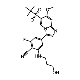 COc1cc2ncc(-c3cc(F)c(C#N)c(NCCCO)c3)n2cc1S(=O)(=O)C(C)(C)C